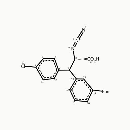 [N-]=[N+]=N[C@H](C(=O)O)C(c1ccc(Cl)cc1)c1cccc(F)c1